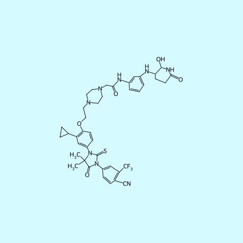 CC1(C)C(=O)N(c2ccc(C#N)c(C(F)(F)F)c2)C(=S)N1c1ccc(OCCN2CCN(CC(=O)Nc3cccc(NC4CCC(=O)NC4O)c3)CC2)c(C2CC2)c1